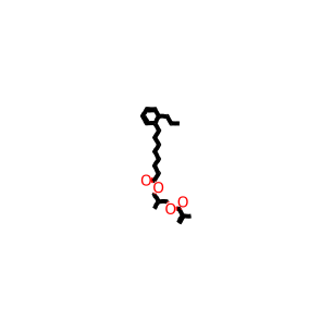 C=C(C)C(=O)OCC(C)COC(=O)CCCCCCCC1C=CC=CC1CCC